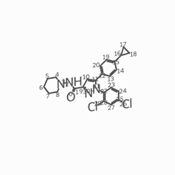 O=C(NN1CCCCC1)c1cc(-c2ccc(C3CC3)cc2)n(-c2ccc(Cl)cc2Cl)n1